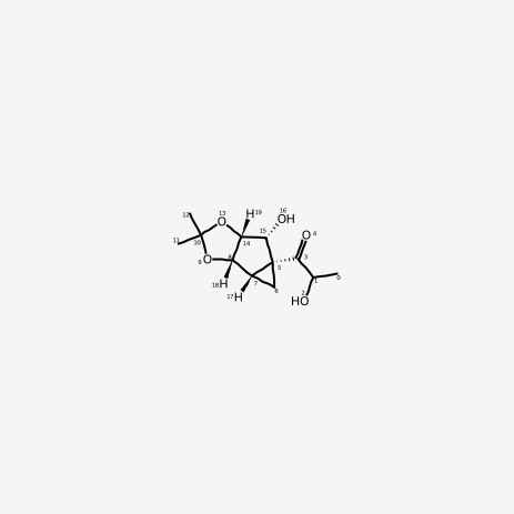 CC(O)C(=O)[C@]12C[C@@H]1[C@@H]1OC(C)(C)O[C@@H]1[C@@H]2O